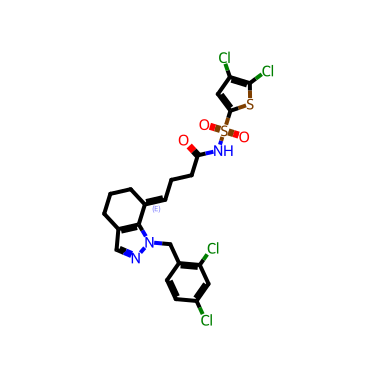 O=C(CC/C=C1\CCCc2cnn(Cc3ccc(Cl)cc3Cl)c21)NS(=O)(=O)c1cc(Cl)c(Cl)s1